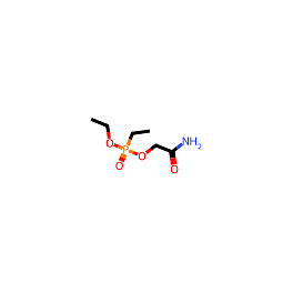 CCOP(=O)(CC)OCC(N)=O